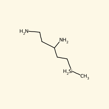 C[SiH2]CCC(N)CCN